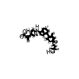 Cc1cc(OCCC(C)(C)O)cc(C)c1-c1cccc2c1CC[C@H]2Nc1ccc(C2C[C@H]2C(=O)O)cn1